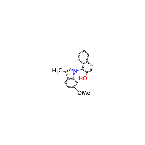 COc1ccc2c(C)cn(-c3c(O)ccc4ccccc34)c2c1